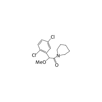 COC(C(=O)N1CCCCC1)c1cc(Cl)ccc1Cl